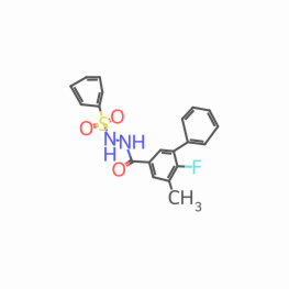 Cc1cc(C(=O)NNS(=O)(=O)c2ccccc2)cc(-c2ccccc2)c1F